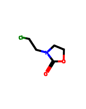 O=C1OCCN1CCCl